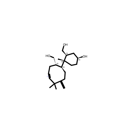 C=C1CC[C@H]([C@@]2(C)CC[C@H](O)C[C@@H]2CO)[C@@H](CO)C/C=C\C1(C)C